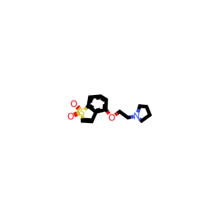 O=S1(=O)C=Cc2c(OCCN3CCCC3)cccc21